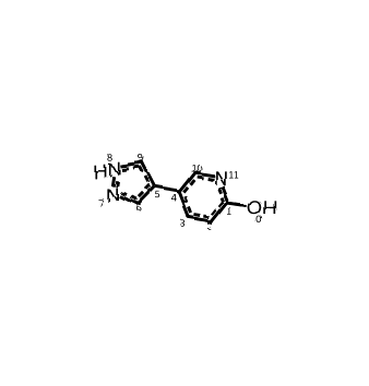 Oc1ccc(-c2cn[nH]c2)cn1